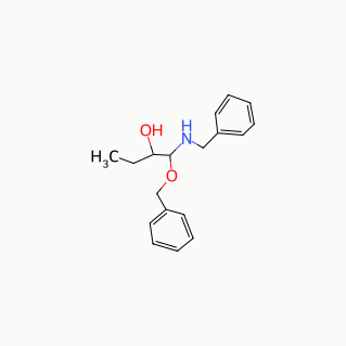 CCC(O)C(NCc1ccccc1)OCc1ccccc1